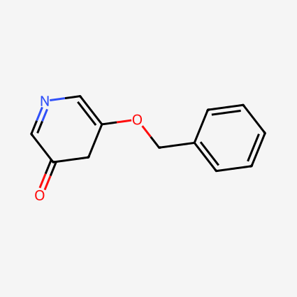 O=C1C=NC=C(OCc2ccccc2)C1